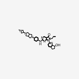 C=CCn1c(=O)c2cnc(Nc3ccc(N4CC5CN(C6CN(C)C6)CC5C4)cc3)nc2n1-c1ccc2c(n1)C(O)CC2